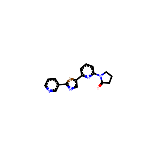 O=C1CCCN1c1cccc(-c2cnc(-c3cccnc3)s2)n1